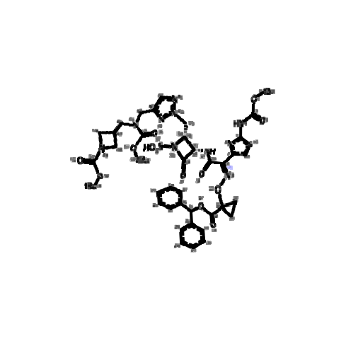 CC(C)(C)OC(=O)Nc1nc(/C(=N/OC2(C(=O)OC(c3ccccc3)c3ccccc3)CC2)C(=O)N[C@@H]2C(=O)N(S(=O)(=O)O)[C@@H]2Cn2ncc(CN(CC3CN(C(=O)OC(C)(C)C)C3)C(=O)OC(C)(C)C)n2)cs1